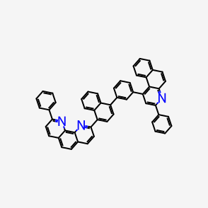 c1ccc(-c2cc(-c3cccc(-c4ccc(-c5ccc6ccc7ccc(-c8ccccc8)nc7c6n5)c5ccccc45)c3)c3c(ccc4ccccc43)n2)cc1